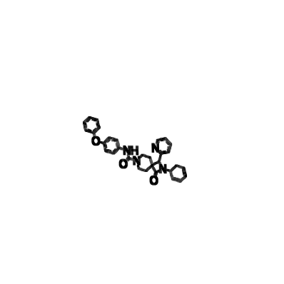 O=C(Nc1ccc(Oc2ccccc2)cc1)N1CCC2(CC1)C(=O)N(C1C=CC=CC1)C2c1ccccn1